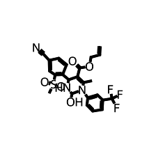 C=CCOC(=O)C1=C(C)N(c2cccc(C(F)(F)F)c2)C(O)NC1c1ccc(C#N)cc1S(C)(=O)=O